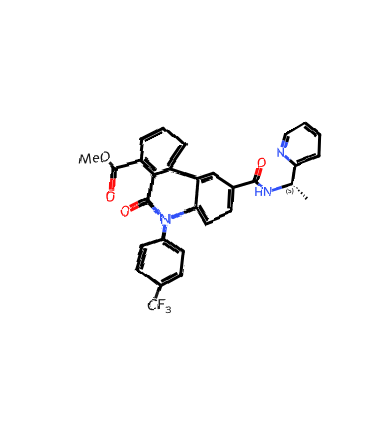 COC(=O)c1cccc2c1c(=O)n(-c1ccc(C(F)(F)F)cc1)c1ccc(C(=O)N[C@@H](C)c3ccccn3)cc21